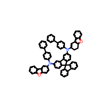 C1=C(N(c2ccc(-c3ccccc3)cc2)c2ccc3c(c2)-c2cc(N(c4ccc(-c5ccccc5)cc4)c4ccc5oc6ccccc6c5c4)ccc2C32c3ccccc3-c3ccccc32)CCc2oc3ccccc3c21